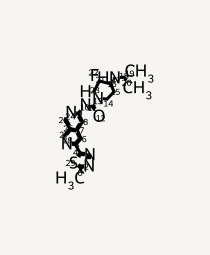 Cc1nnc(-c2cc3cc(NC(=O)N4CC[C@H](NC(C)C)[C@@H](F)C4)ncc3cn2)s1